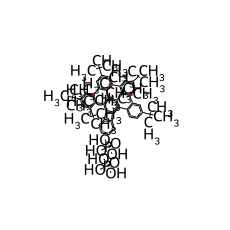 CC(C)(C)c1ccc(-c2c(-c3ccc(C(C)(C)C)cc3C(C)(C)C)c(-c3ccc(C(C)(C)C)cc3C(C)(C)C)c3c(c2-c2ccc(C(C)(C)C)cc2C(C)(C)C)=c2ccccc2=3)c(C(C)(C)C)c1.O=P(O)(O)O.O=P(O)(O)O